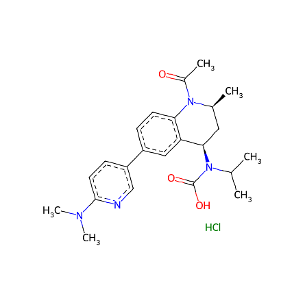 CC(=O)N1c2ccc(-c3ccc(N(C)C)nc3)cc2[C@H](N(C(=O)O)C(C)C)C[C@@H]1C.Cl